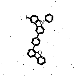 Ic1ccc2c(c1)c1cc(-c3ccc(-c4cccc5c4oc4ccccc45)cc3)ccc1n2-c1ccccc1